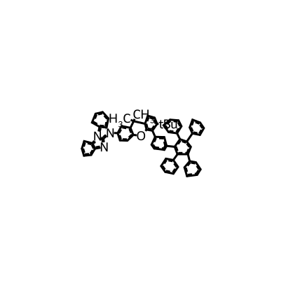 CC(C)(C)c1ccc2c(c1-c1cccc(-c3c(-c4ccccc4)c(-c4ccccc4)cc(-c4ccccc4)c3-c3ccccc3)c1)Oc1ccc(-n3c4ccccc4n4c5ccccc5nc34)cc1C2(C)C